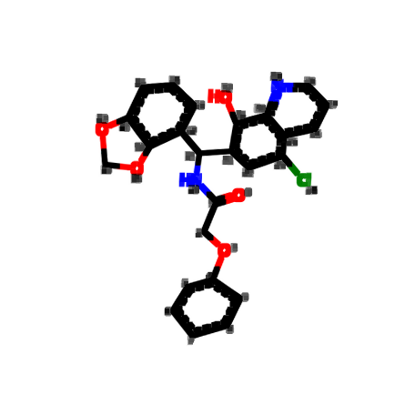 O=C(COc1ccccc1)NC(c1cccc2c1OCO2)c1cc(Cl)c2cccnc2c1O